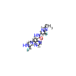 Cc1cn2cc(NC(=O)c3ccc(N4CCN[C@H](CF)C4)c4nccnc34)cc(F)c2n1